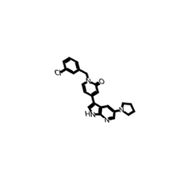 O=c1cc(-c2c[nH]c3ncc(N4CCCC4)cc23)ccn1Cc1cccc(Cl)c1